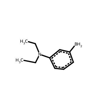 Bc1cccc(N(CC)CC)c1